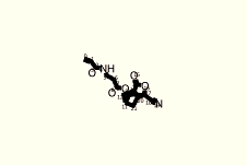 C=CC(=O)NCCC(=O)OC1C2CC3C(=O)OC1(C#N)C3C2